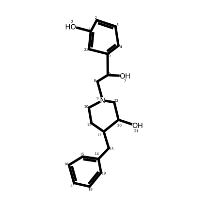 Oc1cccc(C(O)CN2CCC(Cc3ccccc3)C(O)C2)c1